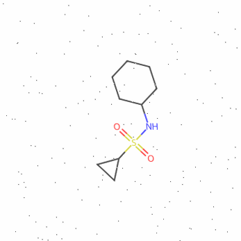 O=S(=O)(NC1CCCCC1)C1CC1